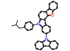 CC(C)Cc1ccc(-n2c3cc(-n4c5ccccc5c5ccccc54)ccc3c3c4oc5ccccc5c4ccc32)cc1